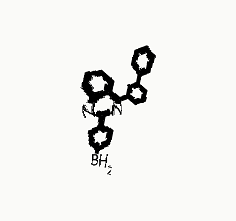 Bc1ccc(-c2nc(-c3cccc(-c4ccccc4)c3)c3ccccc3n2)cc1